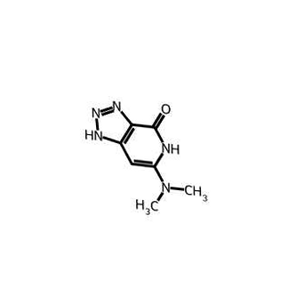 CN(C)c1cc2[nH]nnc2c(=O)[nH]1